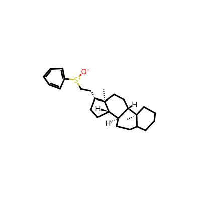 C[C@]12CC[C@H]3[C@@H](CCC4CCCC[C@@]43C)[C@@H]1CC[C@@H]2CC[S+]([O-])c1ccccc1